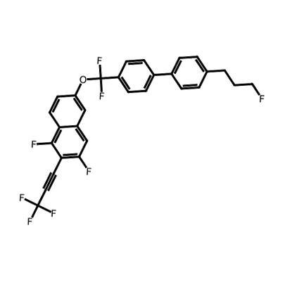 FCCCc1ccc(-c2ccc(C(F)(F)Oc3ccc4c(F)c(C#CC(F)(F)F)c(F)cc4c3)cc2)cc1